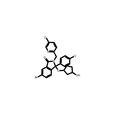 O=C1c2cc(Br)ccc2C(OC2CCC(O)C2)(c2ccc(Cl)cc2)N1Cc1ccc(Cl)cn1